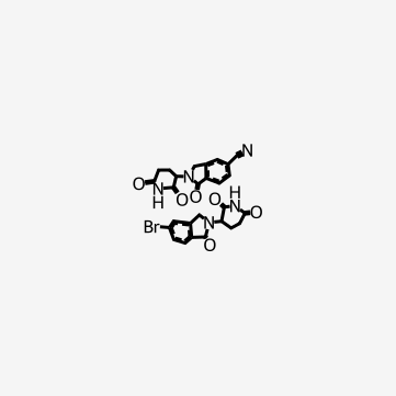 N#Cc1ccc2c(c1)CN(C1CCC(=O)NC1=O)C2=O.O=C1CCC(N2Cc3cc(Br)ccc3C2=O)C(=O)N1